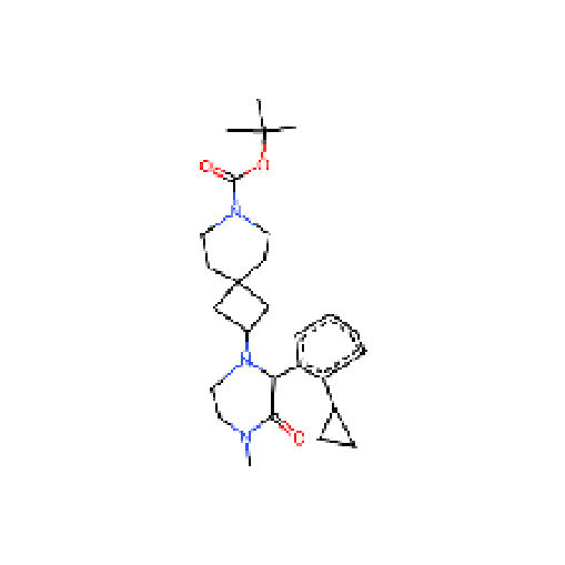 CN1CCN(C2CC3(CCN(C(=O)OC(C)(C)C)CC3)C2)C(c2ccccc2C2CC2)C1=O